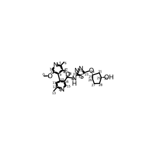 COc1cnc(C)c(F)c1-c1cc(C)ncc1C(=O)Nc1nnc(O[C@H]2CCC[C@H](O)C2)s1